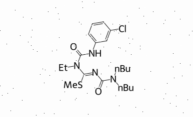 CCCCN(CCCC)C(=O)N=C(SC)N(CC)C(=O)Nc1cccc(Cl)c1